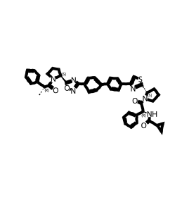 C[C@@H](C(=O)N1CCC[C@H]1c1nc(-c2ccc(-c3ccc(-c4csc([C@@H]5CCCN5C(=O)[C@H](NC(=O)C5CC5)c5ccccc5)n4)cc3)cc2)no1)c1ccccc1